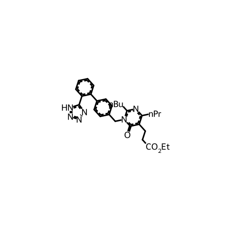 CCCCc1nc(CCC)c(CCC(=O)OCC)c(=O)n1Cc1ccc(-c2ccccc2-c2nnn[nH]2)cc1